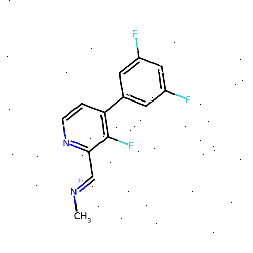 C/N=C/c1nccc(-c2cc(F)cc(F)c2)c1F